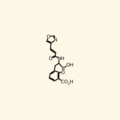 O=C(C=Cc1cocn1)NC1Cc2cccc(C(=O)O)c2OB1O